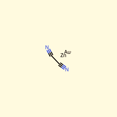 N#CC#N.[Au].[Zn]